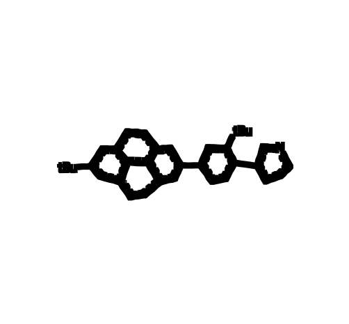 CC(C)(C)c1cc2ccc3cc(-c4ccc(-c5cccnc5)c(C(C)(C)C)c4)cc4ccc(c1)c2c34